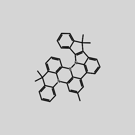 Cc1cc2c3c(c1)N1c4ccccc4C(C)(C)c4cccc(c41)B3n1c3c(c4cccc-2c41)C(C)(C)c1ccccc1-3